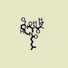 CN[C@@H](C)C(=O)N[C@H]1CN(C(=O)CCCC(C)C)CC[C@H]2CC[C@@H](C=O)N2C1=O